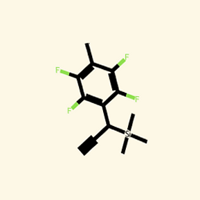 C#CC(c1c(F)c(F)c([CH2])c(F)c1F)[Si](C)(C)C